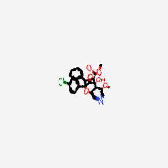 COC(=O)[C@@H]1C(c2ccccc2)C2(c3ccc(Cl)cc3)Oc3cncc(OC)c3[C@@]1(O)C2=O